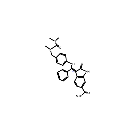 COC(=O)c1ccc2c(c1)NC(=O)/C2=C(\Nc1ccc(CN(C)C(=O)N(C)C)cc1)c1ccccc1